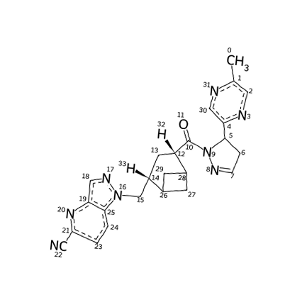 Cc1cnc(C2CC=NN2C(=O)[C@H]2C[C@@H](Cn3ncc4nc(C#N)ccc43)C3CC2C3)cn1